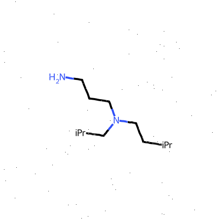 CC(C)CCN(CCCN)CC(C)C